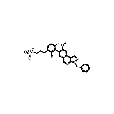 COc1cc2c(cnc3c2cnn3Cc2ccccc2)cc1-c1c(F)ccc(CCCN[SH](=O)=O)c1F